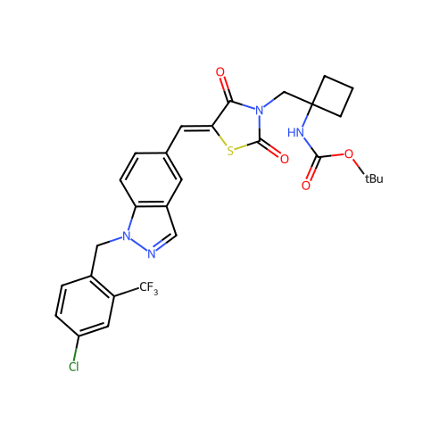 CC(C)(C)OC(=O)NC1(CN2C(=O)SC(=Cc3ccc4c(cnn4Cc4ccc(Cl)cc4C(F)(F)F)c3)C2=O)CCC1